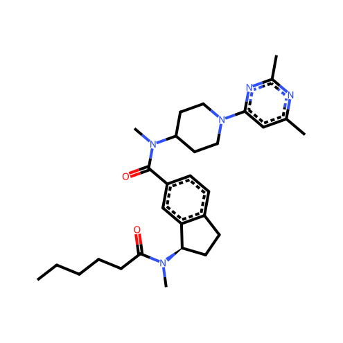 CCCCCC(=O)N(C)[C@@H]1CCc2ccc(C(=O)N(C)C3CCN(c4cc(C)nc(C)n4)CC3)cc21